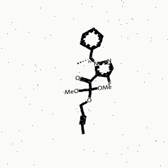 CC#CCOC(OC)(OC)C(=O)c1c(F)cnn1[C@H](C)c1ccccc1